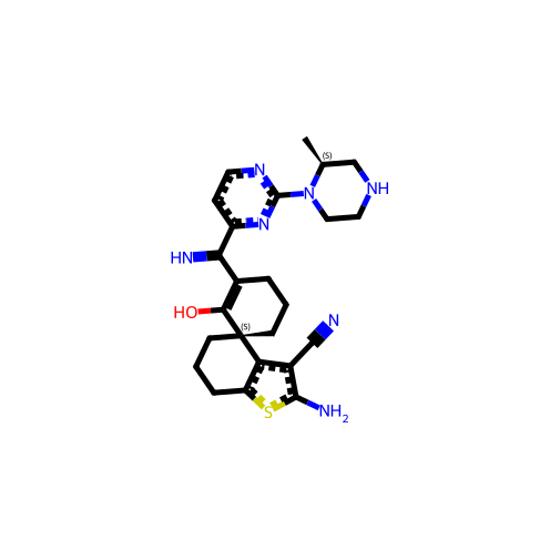 C[C@H]1CNCCN1c1nccc(C(=N)C2=C(O)[C@@]3(CCC2)CCCc2sc(N)c(C#N)c23)n1